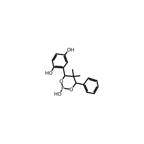 CC1(C)C(c2ccccc2)OP(O)OC1c1cc(O)ccc1O